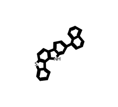 c1ccc2c(-c3ccc4c(c3)[nH]c3c4ccc4sc5ccccc5c43)cccc2c1